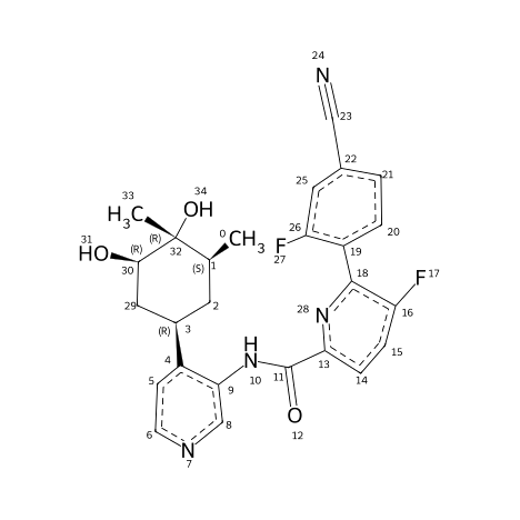 C[C@H]1C[C@@H](c2ccncc2NC(=O)c2ccc(F)c(-c3ccc(C#N)cc3F)n2)C[C@@H](O)[C@]1(C)O